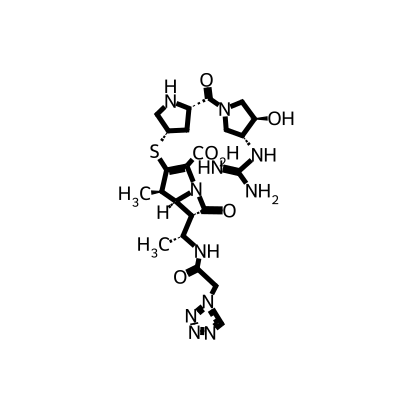 C[C@@H](NC(=O)Cn1cnnn1)[C@H]1C(=O)N2C(C(=O)O)=C(S[C@@H]3CN[C@H](C(=O)N4C[C@@H](O)[C@H](NC(=N)N)C4)C3)[C@H](C)[C@H]12